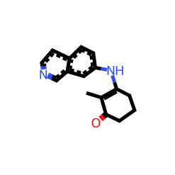 CC1=C(Nc2ccc3ccncc3c2)CCCC1=O